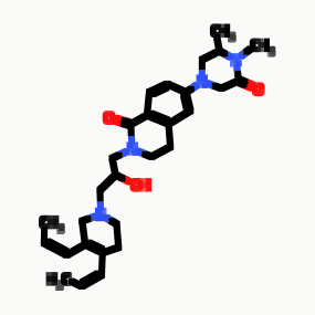 C/C=C\C1=C(/C=C\C)CN(CC(O)CN2CCc3cc(N4CC(=O)N(C)C(C)C4)ccc3C2=O)CC1